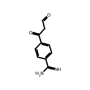 N=C(N)c1ccc(C(=O)C[C]=O)cc1